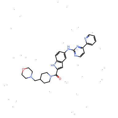 O=C(c1cc2cc(Nc3nccc(-c4ccccn4)n3)ccc2[nH]1)N1CCC(CN2CCOCC2)CC1